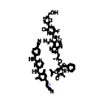 CC(C)OC(=O)[C@H](C)N[P@](=O)(CO[C@H](C)Cn1cnc2c(N)ncnc21)Oc1ccccc1.Cc1cc(/C=C/C#N)cc(C)c1Nc1ccnc(Nc2ccc(C#N)cc2)n1.Nc1nc(=O)n([C@@H]2CS[C@H](CO)O2)cc1F